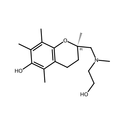 Cc1c(C)c2c(c(C)c1O)CC[C@](C)(CN(C)CCO)O2